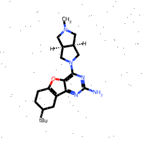 CN1C[C@@H]2CN(c3nc(N)nc4c5c(oc34)CCC(C(C)(C)C)C5)C[C@@H]2C1